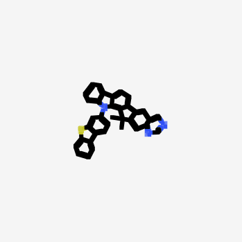 CC1(C)c2cc3ncncc3cc2-c2ccc3c4ccccc4n(-c4ccc5c(c4)sc4ccccc45)c3c21